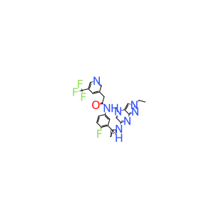 CCn1cc2ncc(N[C@@H](C)c3cc(NC(=O)Cc4cncc(C(F)(F)F)c4)ccc3F)nc2n1